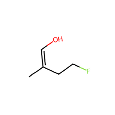 CC(=CO)CCF